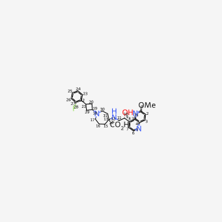 COc1ccc2nccc([C@@H](O)CNC3(C(=O)O)CCCN(C4CC(c5ccccc5F)C4)CC3)c2n1